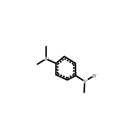 C[S+](C)c1ccc([S+](C)[O-])cc1